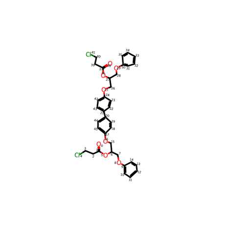 O=C(CCCl)OC(COc1ccccc1)COc1ccc(-c2ccc(OCC(COc3ccccc3)OC(=O)CCCl)cc2)cc1